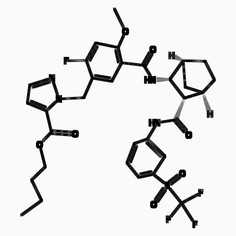 CCCCOC(=O)c1ccnn1Cc1cc(C(=O)N[C@@H]2[C@H]3CC[C@H](C3)[C@@H]2C(=O)Nc2cccc(S(=O)(=O)C(F)(F)F)c2)c(OC)cc1F